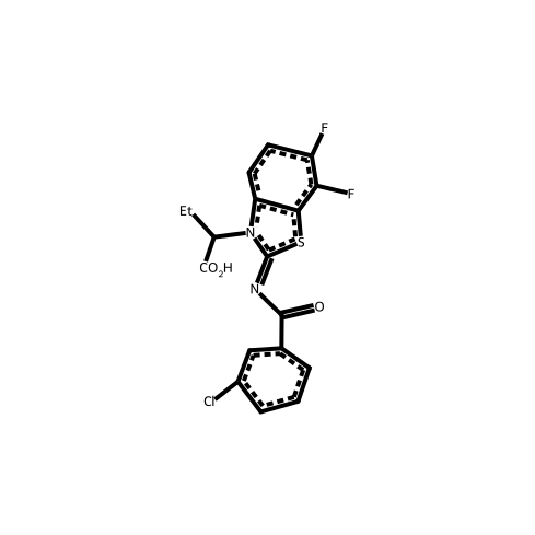 CCC(C(=O)O)n1c(=NC(=O)c2cccc(Cl)c2)sc2c(F)c(F)ccc21